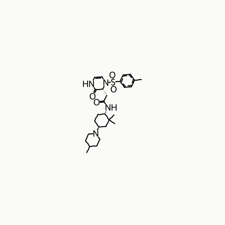 Cc1ccc(S(=O)(=O)N2C=CNC(=O)[C@H]2CC(=O)N[C@H]2CC[C@H](N3CCC(C)CC3)CC2(C)C)cc1